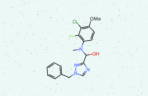 COc1ccc(N(C)C(O)c2ncn(Cc3ccccc3)n2)c(F)c1Cl